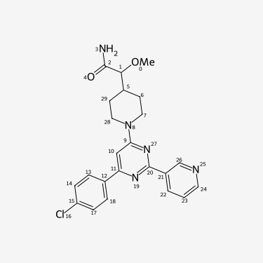 COC(C(N)=O)C1CCN(c2cc(-c3ccc(Cl)cc3)nc(-c3cccnc3)n2)CC1